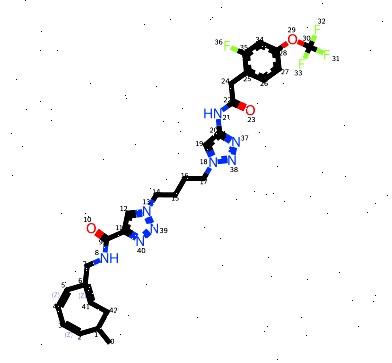 CC1\C=C/C=C\C(CNC(=O)c2cn(CCCCn3cc(NC(=O)Cc4ccc(OC(F)(F)F)cc4F)nn3)nn2)=C\C1